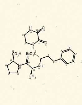 CCOC(=O)[C@H](CCc1ccccc1)N[C@@H](C)C(=O)N1CCC[C@H]1C(=O)O.O=C1NCCNC1=O